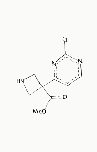 COC(=O)C1(c2ccnc(Cl)n2)CNC1